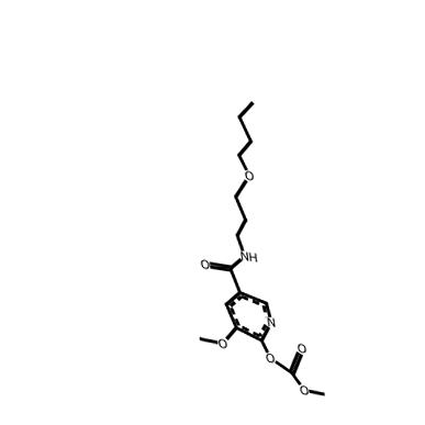 CCCCOCCCNC(=O)c1cnc(OC(=O)OC)c(OC)c1